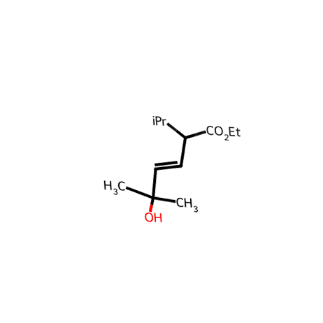 CCOC(=O)C(/C=C/C(C)(C)O)C(C)C